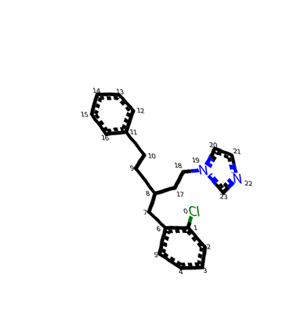 Clc1ccccc1CC(CCc1ccccc1)CCn1ccnc1